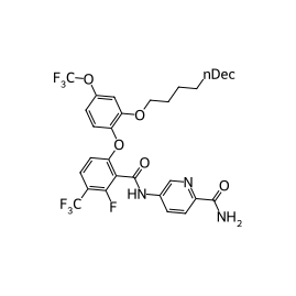 CCCCCCCCCCCCCCOc1cc(OC(F)(F)F)ccc1Oc1ccc(C(F)(F)F)c(F)c1C(=O)Nc1ccc(C(N)=O)nc1